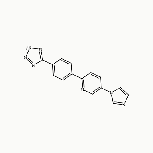 c1cn(-c2ccc(-c3ccc(-c4nn[nH]n4)cc3)nc2)cn1